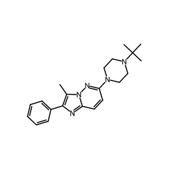 Cc1c(-c2ccccc2)nc2ccc(N3CCN(C(C)(C)C)CC3)nn12